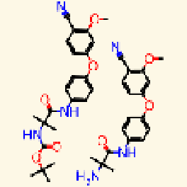 COc1cc(Oc2ccc(NC(=O)C(C)(C)N)cc2)ccc1C#N.COc1cc(Oc2ccc(NC(=O)C(C)(C)NC(=O)OC(C)(C)C)cc2)ccc1C#N